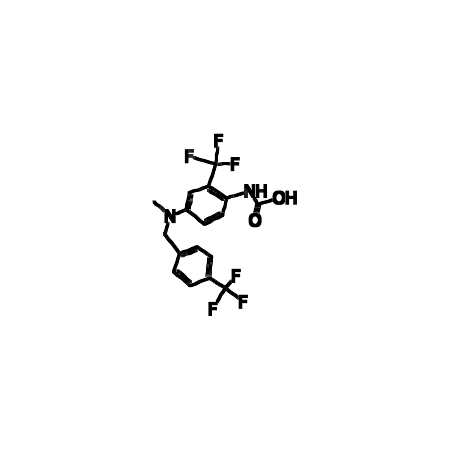 CN(Cc1ccc(C(F)(F)F)cc1)c1ccc(NC(=O)O)c(C(F)(F)F)c1